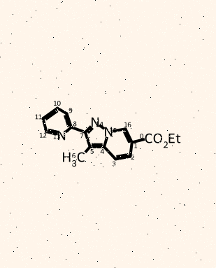 CCOC(=O)c1ccc2c(C)c(-c3ccccn3)nn2c1